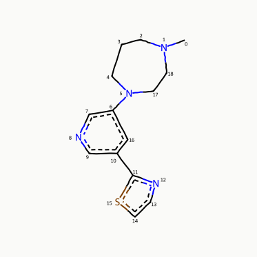 CN1CCCN(c2cncc(-c3nccs3)c2)CC1